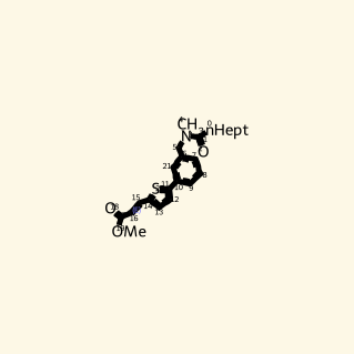 CCCCCCCC(=O)N(C)Cc1cccc(-c2ccc(/C=C/C(=O)OC)s2)c1